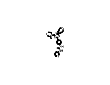 CC1COCCN1c1nc(-c2ccc(NC(=O)Nc3cccnc3)cc2)nc(N2C3CCC2COC3)n1